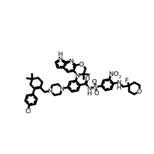 CC1(C)CCC(CN2CCN(c3ccc(C(=O)NS(=O)(=O)c4ccc(NCC5(F)CCOCC5)c([N+](=O)[O-])c4)c(N4c5cc6cc[nH]c6nc5OCC4(C)C)c3)CC2)=C(c2ccc(Cl)cc2)C1